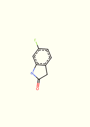 O=C1Cc2ccc(F)cc2[N]1